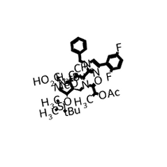 COC(C)(C)[C@H](c1nc(-c2cc(F)ccc2F)cn1Cc1ccccc1)N(C[C@@H]1C(C(C)(C)C)N(C(=O)O)C[C@H]1O[Si](C)(C)C(C)(C)C)C(=O)C(C)OC(C)=O